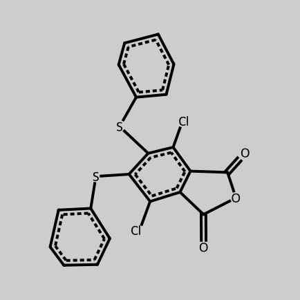 O=C1OC(=O)c2c(Cl)c(Sc3ccccc3)c(Sc3ccccc3)c(Cl)c21